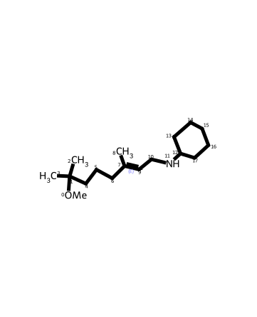 COC(C)(C)CCC/C(C)=[C]/CNC1CCCCC1